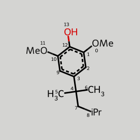 COc1cc(C(C)(C)CC(C)C)cc(OC)c1O